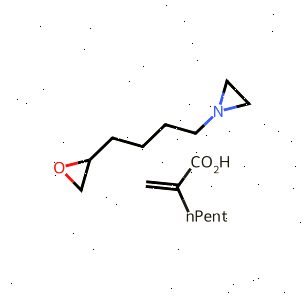 C(CCN1CC1)CC1CO1.C=C(CCCCC)C(=O)O